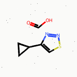 O=CO.c1snnc1C1CC1